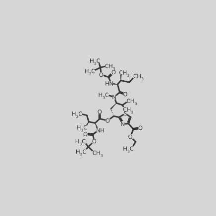 CCOC(=O)c1csc([C@@H](C[C@H](C(C)C)N(C)C(=O)[C@@H](NC(=O)OC(C)(C)C)[C@@H](C)CC)OC(=O)[C@@H](NC(=O)OC(C)(C)C)[C@@H](C)CC)n1